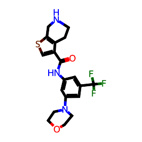 O=C(Nc1cc(N2CCOCC2)cc(C(F)(F)F)c1)c1csc2c1CCNC2